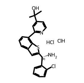 CC(C)(O)c1ccnc(-c2cccc3cc([C@H](N)c4ccccc4Cl)sc23)c1.Cl.Cl